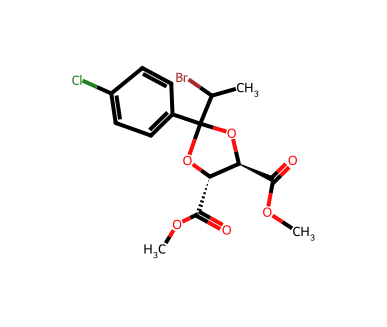 COC(=O)[C@@H]1OC(c2ccc(Cl)cc2)(C(C)Br)O[C@H]1C(=O)OC